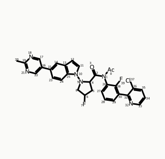 CC(=O)N(C(=O)C1CC(F)CN1n1ccc2cc(-c3cnc(C)nc3)ccc21)c1cccc(-c2ncccc2Cl)c1F